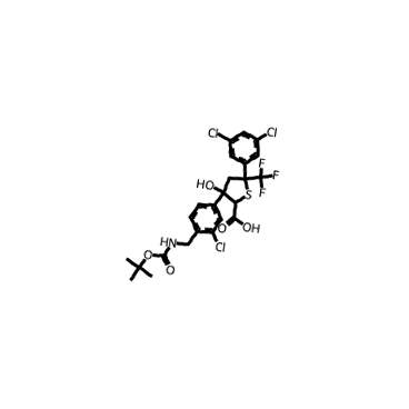 CC(C)(C)OC(=O)NCc1ccc(C2(O)CC(c3cc(Cl)cc(Cl)c3)(C(F)(F)F)SC2C(=O)O)cc1Cl